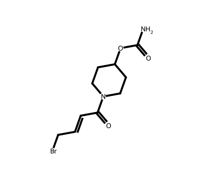 NC(=O)OC1CCN(C(=O)C=CCBr)CC1